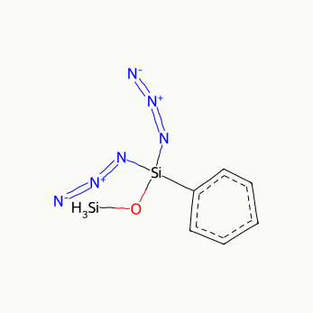 [N-]=[N+]=N[Si](N=[N+]=[N-])(O[SiH3])c1ccccc1